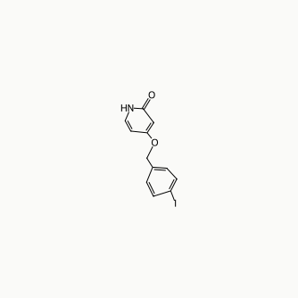 O=c1cc(OCc2ccc(I)cc2)cc[nH]1